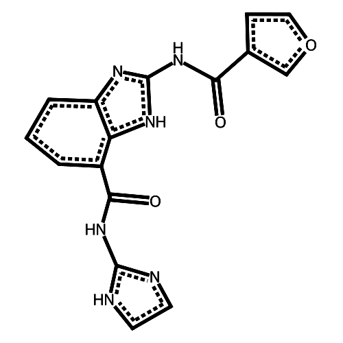 O=C(Nc1nc2cccc(C(=O)Nc3ncc[nH]3)c2[nH]1)c1ccoc1